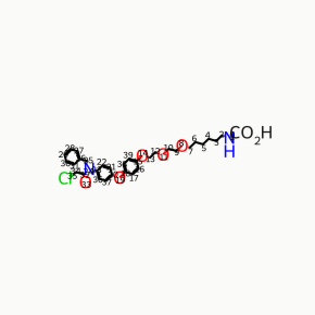 O=C(O)NCCCCCCOCCOCCOc1ccc(Oc2ccc(N(Cc3ccccc3)C(=O)CCl)cc2)cc1